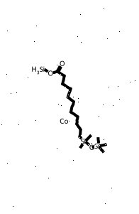 C[Si](C)(C)O[Si](C)(C)CCCCCCCCCCC(=O)O[SiH3].[Co]